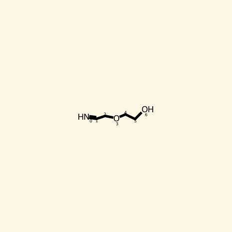 N=CCOCCO